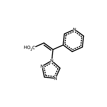 O=C(O)C=C(c1cccnc1)n1cncn1